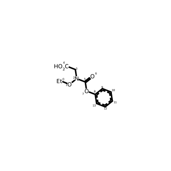 CCON(CC(=O)O)C(=O)Oc1ccccc1